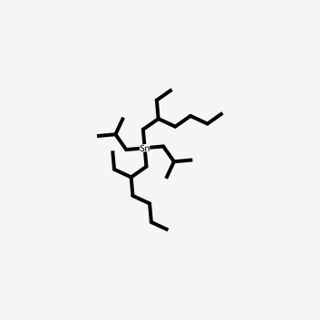 CCCCC(CC)[CH2][Sn]([CH2]C(C)C)([CH2]C(C)C)[CH2]C(CC)CCCC